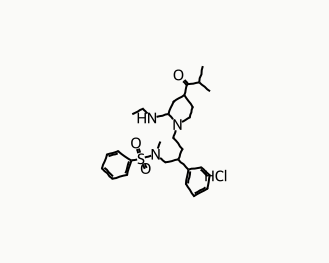 CCNC1CC(C(=O)C(C)C)CCN1CCC(CN(C)S(=O)(=O)c1ccccc1)c1ccccc1.Cl